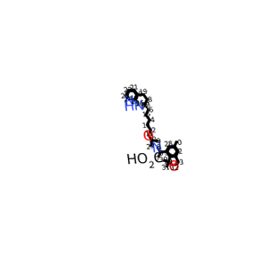 Cc1cc2c(c(C(C(=O)O)N3CC(OCCCCC[C@@H]4CCc5cccnc5N4)C3)c1)C(C)(C)OC2